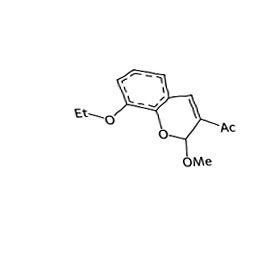 CCOc1cccc2c1OC(OC)C(C(C)=O)=C2